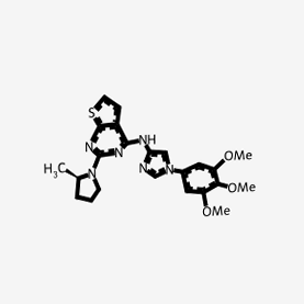 COc1cc(-n2cnc(Nc3nc(N4CCC[C@H]4C)nc4sccc34)c2)cc(OC)c1OC